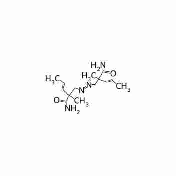 CC=CC(C)(CN=NCC(C)(C=CC)C(N)=O)C(N)=O